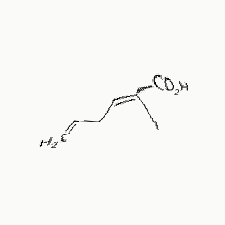 C=CC/C=C(\I)C(=O)O